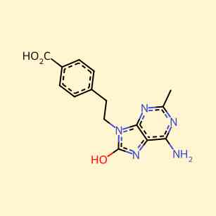 Cc1nc(N)c2nc(O)n(CCc3ccc(C(=O)O)cc3)c2n1